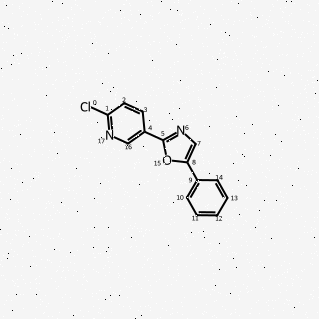 Clc1ccc(-c2ncc(-c3ccccc3)o2)cn1